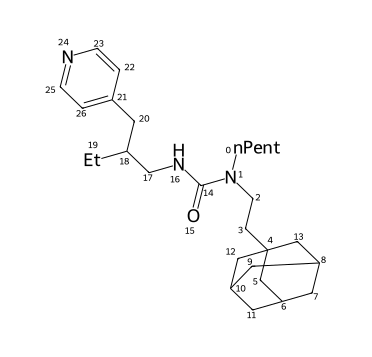 CCCCCN(CCC12CC3CC(CC(C3)C1)C2)C(=O)NCC(CC)Cc1ccncc1